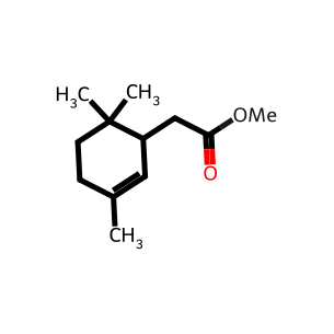 COC(=O)CC1C=C(C)CCC1(C)C